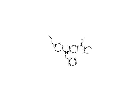 CCCN1CCC(N(Cc2ccccc2)c2ccc(C(=O)N(CC)CC)cc2)CC1